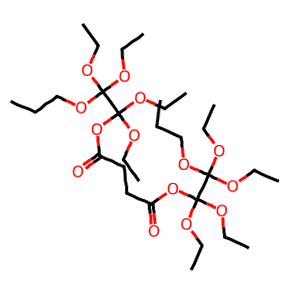 CCCOC(OCC)(OCC)C(OCC)(OCC)OC(=O)CCC(=O)OC(OCC)(OCC)C(OCC)(OCC)OCCC